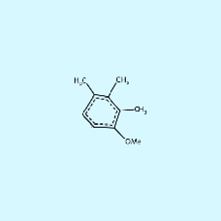 COc1[c]cc(C)c(C)c1C